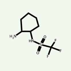 NC1CCCCC1NS(=O)(=O)C(F)(F)F